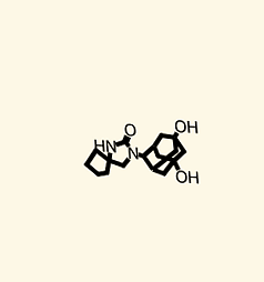 O=C1NC2(CCCC2)CN1C1C2CC3(O)CC1CC(O)(C2)C3